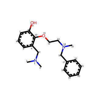 CN(C)Cc1cccc(O)c1OCCN(C)Cc1ccccc1